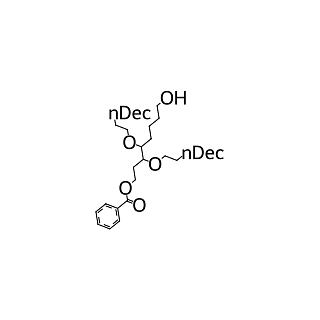 CCCCCCCCCCCCOC(CCCCO)C(CCOC(=O)c1ccccc1)OCCCCCCCCCCCC